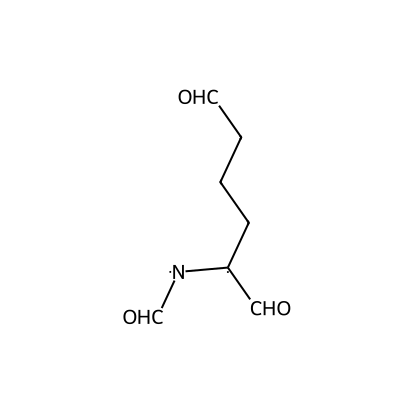 O=CCCC[C](C=O)[N]C=O